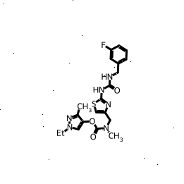 CCn1cc(OC(=O)N(C)Cc2csc(NC(=O)NCc3cccc(F)c3)n2)c(C)n1